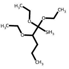 CCCC(OCC)C([SiH3])(OCC)OCC